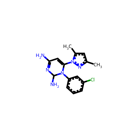 Cc1cc(C)n(C2=CC(N)=NC(N)N2c2cccc(Cl)c2)n1